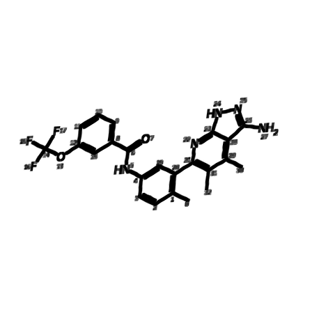 Cc1ccc(NC(=O)c2cccc(OC(F)(F)F)c2)cc1-c1nc2[nH]nc(N)c2c(C)c1C